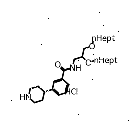 CCCCCCCOCC(CNC(=O)c1cccc(C2CCNCC2)c1)OCCCCCCC.Cl